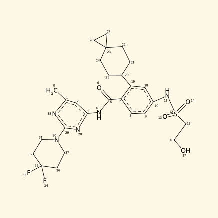 Cc1cc(NC(=O)c2ccc(NS(=O)(=O)CCO)cc2C2CCC3(CC2)CC3)nc(N2CCC(F)(F)CC2)n1